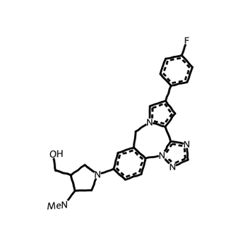 CNC1CN(c2ccc3c(c2)Cn2cc(-c4ccc(F)cc4)cc2-c2ncnn2-3)CC1CO